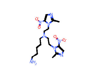 Cc1ncc([N+](=O)[O-])n1CCN(CCCCCN)CCn1c([N+](=O)[O-])cnc1C